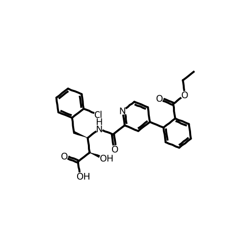 CCOC(=O)c1ccccc1-c1ccnc(C(=O)N[C@H](Cc2ccccc2Cl)[C@@H](O)C(=O)O)c1